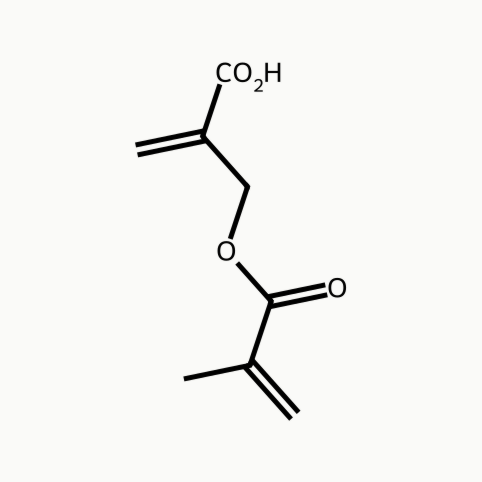 C=C(C)C(=O)OCC(=C)C(=O)O